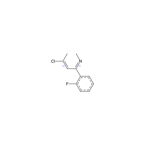 C/N=C(\C=C(/C)Cl)c1ccccc1F